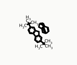 C1=CC23C=CC4=C(CC(=C14)C2)C3.CC(C)(C)c1ccc2c(c1)Cc1cc(C(C)(C)C)ccc1-2